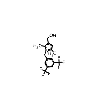 Cc1cc(CO)c(C)n1Cc1cc(C(F)(F)F)cc(C(F)(F)F)c1